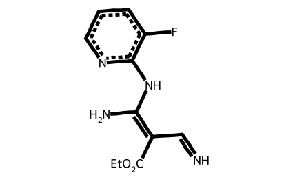 CCOC(=O)/C(C=N)=C(\N)Nc1ncccc1F